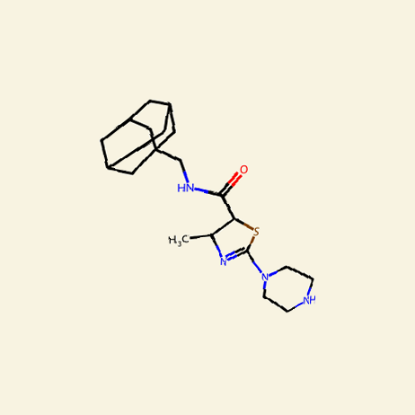 CC1N=C(N2CCNCC2)SC1C(=O)NCC12CC3CC(CC(C3)C1)C2